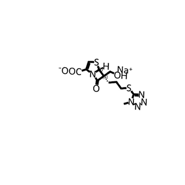 Cn1nnnc1SCCC[C@]1(CO)C(=O)N2C(C(=O)[O-])=CS[C@@H]21.[Na+]